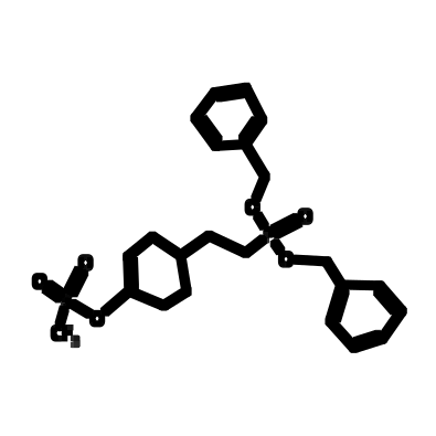 O=P(CCC1CC=C(OS(=O)(=O)C(F)(F)F)CC1)(OCc1ccccc1)OCc1ccccc1